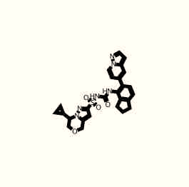 O=C(Nc1c(-c2ccn3nccc3c2)ccc2c1CCC2)NS(=O)(=O)c1cc2n(n1)C(C1CC1)COC2